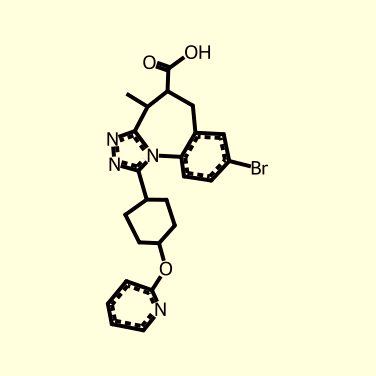 CC1c2nnc(C3CCC(Oc4ccccn4)CC3)n2-c2ccc(Br)cc2CC1C(=O)O